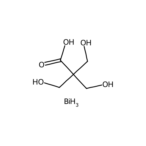 O=C(O)C(CO)(CO)CO.[BiH3]